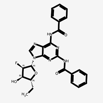 CC[C@H]1O[C@@H](n2cnc3c(NC(=O)c4ccccc4)nc(NC(=O)c4ccccc4)nc32)[C@H](F)[C@@H]1O